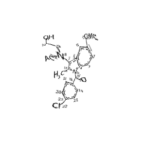 COc1ccc2c(c1)c(N(CCO)C(C)=O)c(C)n2C(=O)c1ccc(Cl)cc1